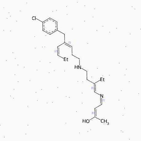 CC/C=C\C(=C/CCNCC/C(=C/N=C\C=C(/C)O)CC)Cc1ccc(Cl)cc1